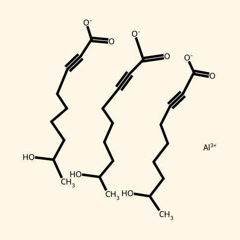 CC(O)CCCCC#CC(=O)[O-].CC(O)CCCCC#CC(=O)[O-].CC(O)CCCCC#CC(=O)[O-].[Al+3]